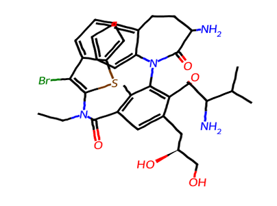 CCN(C(=O)c1cc(C[C@H](O)CO)c(C(=O)C(N)C(C)C)c(N2C(=O)C(N)CCc3ccccc32)c1C)c1sc2ccccc2c1Br